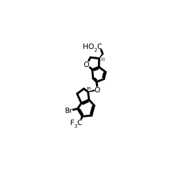 O=C(O)C[C@@H]1COc2cc(O[C@@H]3CCc4c3ccc(C(F)(F)F)c4Br)ccc21